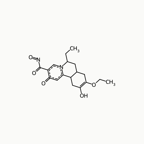 CCOC1=C(O)CC2c3cc(=O)c(C(=O)N=O)cn3C(CC)CC2C1